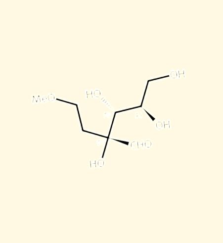 COCC[C@](O)(C=O)[C@H](O)[C@H](O)CO